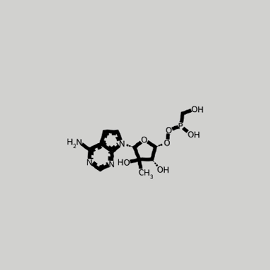 CC1(O)[C@@H](O)[C@@H](OOP(O)CO)O[C@H]1n1ccc2c(N)ncnc21